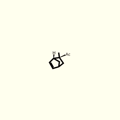 CC(=O)[C@@]1(C)CC2C=C[C@H]1C2